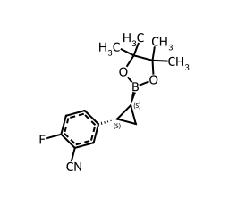 CC1(C)OB([C@H]2C[C@@H]2c2ccc(F)c(C#N)c2)OC1(C)C